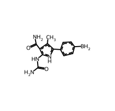 Bc1ccc(-c2[nH]c(NC(N)=O)c(C(N)=O)c2C)cc1